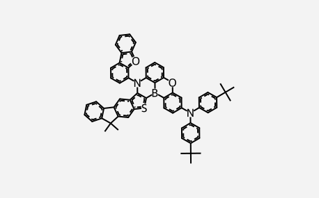 CC(C)(C)c1ccc(N(c2ccc(C(C)(C)C)cc2)c2ccc3c(c2)Oc2cccc4c2B3c2sc3cc5c(cc3c2N4c2cccc3c2oc2ccccc23)-c2ccccc2C5(C)C)cc1